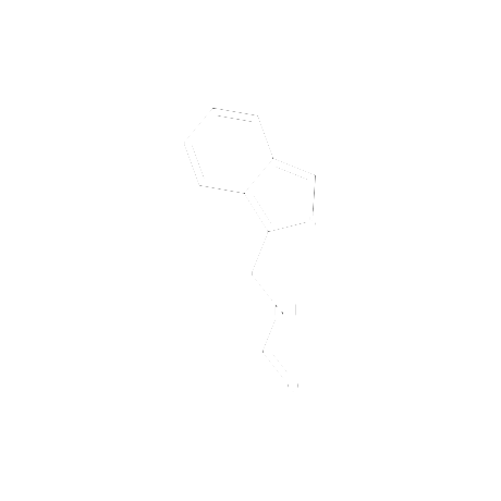 O=CNCc1scc2ccccc12